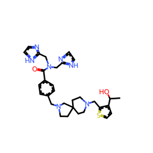 CC(O)c1ccsc1CN1CCC2(CC1)CCN(Cc1ccc(C(=O)N(Cc3ncc[nH]3)Cc3ncc[nH]3)cc1)C2